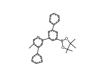 Cc1cnc(-c2cc(B3OC(C)(C)C(C)(C)O3)cc(-c3ccccc3)c2)cc1-c1ccccc1